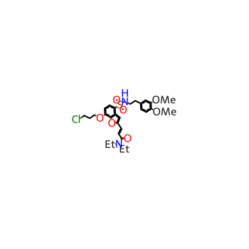 CCN(CC)C(=O)C=Cc1cc2c(S(=O)(=O)NCCc3ccc(OC)c(OC)c3)ccc(OCCCCl)c2o1